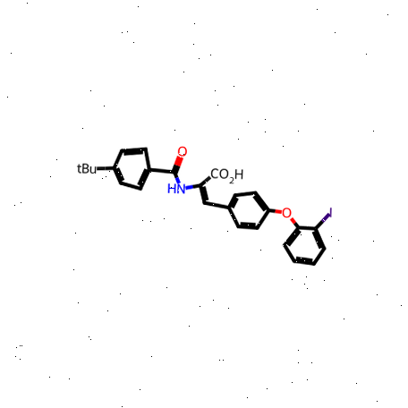 CC(C)(C)c1ccc(C(=O)N/C(=C/c2ccc(Oc3ccccc3I)cc2)C(=O)O)cc1